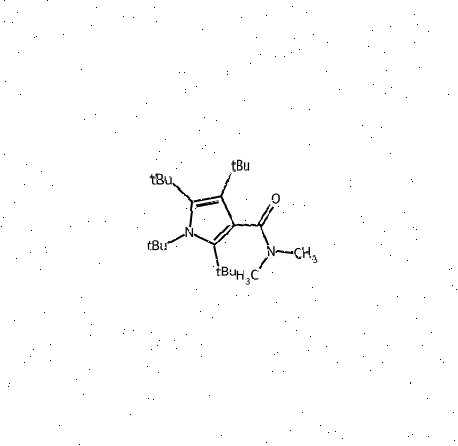 CN(C)C(=O)c1c(C(C)(C)C)c(C(C)(C)C)n(C(C)(C)C)c1C(C)(C)C